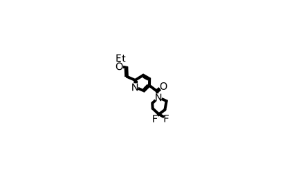 CCO/C=C/c1ccc(C(=O)N2CCC(F)(F)CC2)cn1